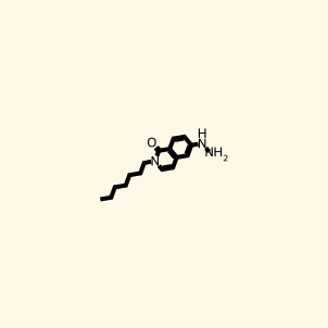 CCCCCCCn1ccc2cc(NN)ccc2c1=O